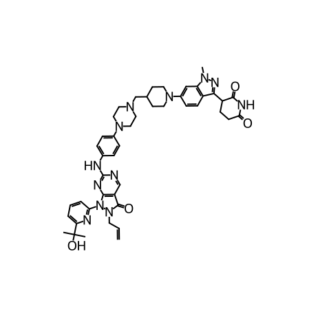 C=CCn1c(=O)c2cnc(Nc3ccc(N4CCN(CC5CCN(c6ccc7c(C8CCC(=O)NC8=O)nn(C)c7c6)CC5)CC4)cc3)nc2n1-c1cccc(C(C)(C)O)n1